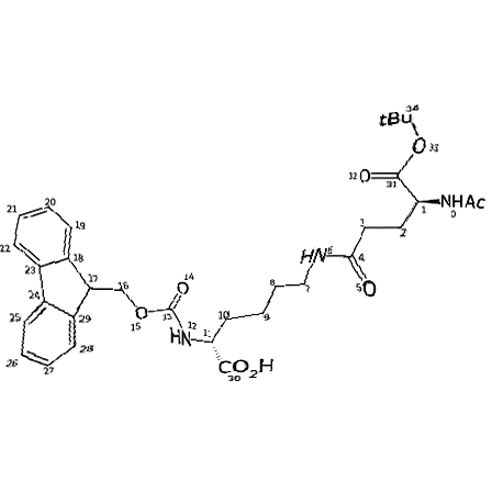 CC(=O)N[C@@H](CCC(=O)NCCCC[C@@H](NC(=O)OCC1c2ccccc2-c2ccccc21)C(=O)O)C(=O)OC(C)(C)C